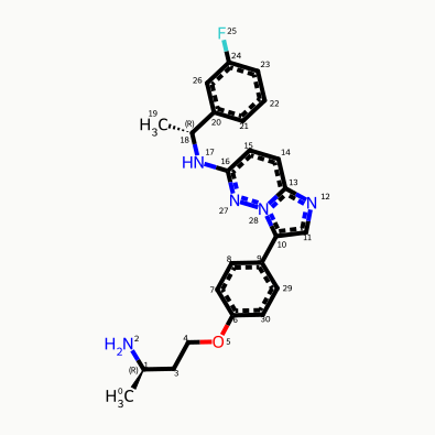 C[C@@H](N)CCOc1ccc(-c2cnc3ccc(N[C@H](C)c4cccc(F)c4)nn23)cc1